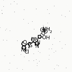 Cc1sc(C(=O)c2cncnc2N[C@@H]2C[C@H](COS(N)(=O)=O)[C@@H](O)C2)cc1C1OCCc2cnc(Cl)cc21